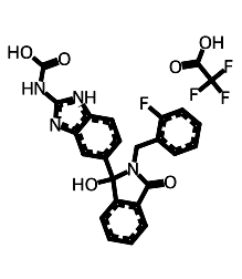 O=C(O)C(F)(F)F.O=C(O)Nc1nc2cc(C3(O)c4ccccc4C(=O)N3Cc3ccccc3F)ccc2[nH]1